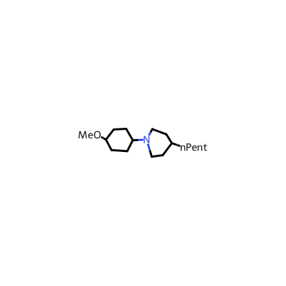 CCCCCC1CCN(C2CCC(OC)CC2)CC1